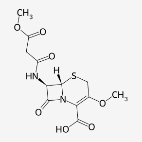 COC(=O)CC(=O)N[C@@H]1C(=O)N2C(C(=O)O)=C(OC)CS[C@@H]12